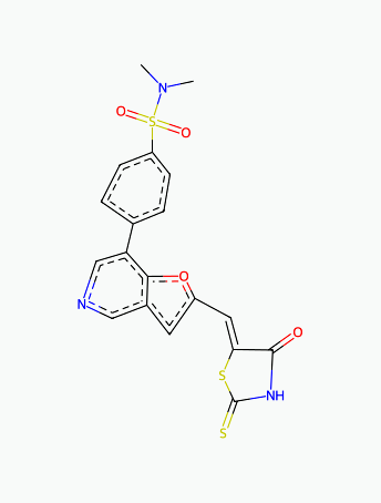 CN(C)S(=O)(=O)c1ccc(-c2cncc3cc(/C=C4\SC(=S)NC4=O)oc23)cc1